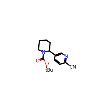 CC(C)(C)OC(=O)N1CCCCC1c1ccc(C#N)nc1